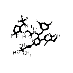 CC(C)(O)C#Cc1ccc(-c2cnc3[nH]ccc3c2F)c(C(Cc2cc(F)cc(F)c2)NC(=O)CNC2=C(C(=N)C(F)(F)F)CCC2(F)F)n1